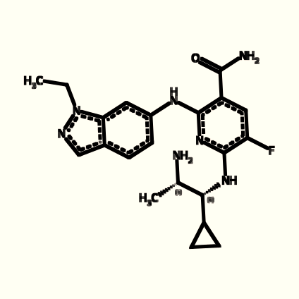 CCn1ncc2ccc(Nc3nc(N[C@H](C4CC4)[C@H](C)N)c(F)cc3C(N)=O)cc21